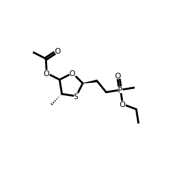 CCOP(C)(=O)CC[C@@H]1OC(OC(C)=O)[C@@H](C)S1